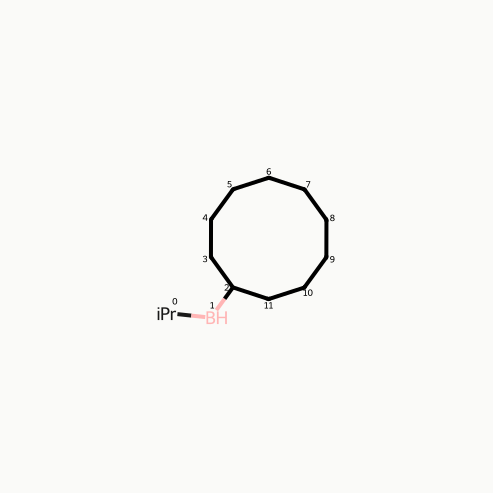 CC(C)BC1CCCCCCCCC1